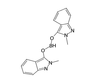 Cn1nc2ccccc2c1OBOc1c2ccccc2nn1C